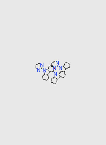 c1cnc(-n2c3ccccc3c3c(-n4c5ccccc5c5ccc6c7ccccc7n(-c7ncccn7)c6c54)cccc32)nc1